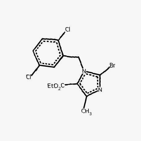 CCOC(=O)c1c(C)nc(Br)n1Cc1cc(Cl)ccc1Cl